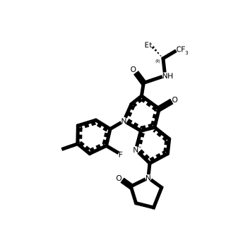 CC[C@@H](NC(=O)c1cn(-c2ccc(C)cc2F)c2nc(N3CCCC3=O)ccc2c1=O)C(F)(F)F